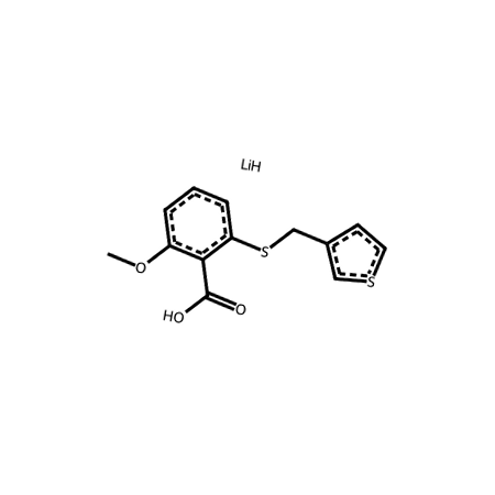 COc1cccc(SCc2ccsc2)c1C(=O)O.[LiH]